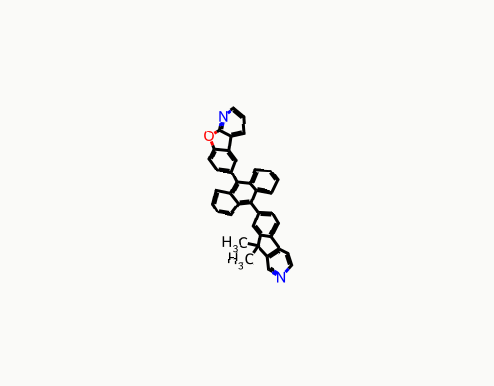 CC1(C)c2cnccc2-c2ccc(-c3c4ccccc4c(-c4ccc5oc6ncccc6c5c4)c4ccccc34)cc21